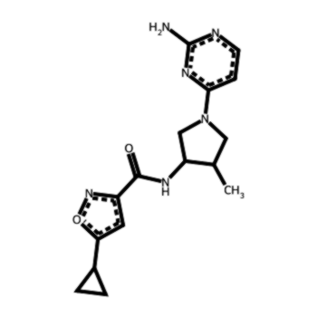 CC1CN(c2ccnc(N)n2)CC1NC(=O)c1cc(C2CC2)on1